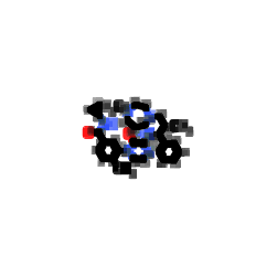 Cc1ccc(C(=O)NC2CC2)cc1-n1ccnc(N[C@@H](c2ccccc2)[C@@H](C)CN2CCCN(C)CC2)c1=O